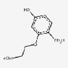 CCCCCCCCCCOc1cc(O)ccc1C(=O)O